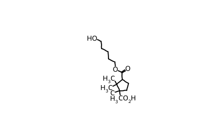 CC1(C(=O)O)CCC(C(=O)OCCCCCO)C1(C)C